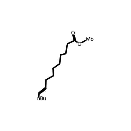 CCCCC=CCCCCCCCC(=O)[O][Mo]